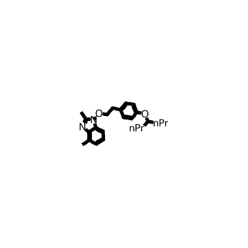 CCCC(CCC)Oc1ccc(CCOn2c(C)nc3c(C)cccc32)cc1